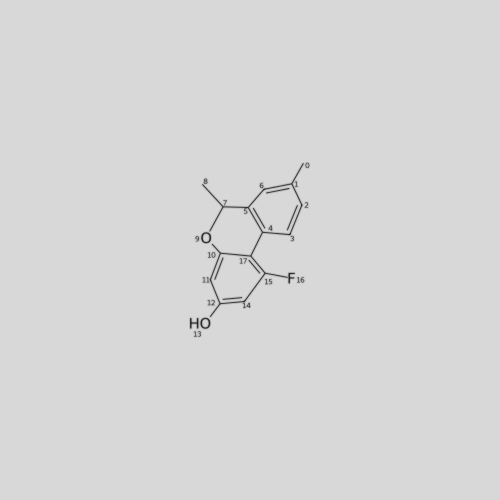 Cc1ccc2c(c1)C(C)Oc1cc(O)cc(F)c1-2